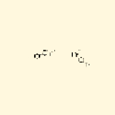 C=CCCc1ccc(-c2ccc(OC(=O)CCCCCCCc3ccc(-c4ccc(C#N)cc4)c(F)c3)cc2)cc1